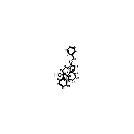 O=C(OCc1ccccc1)N1CC[C@](O)(c2ccccc2)[C@H]2CCCC[C@H]21